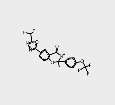 CN1C(=O)c2cc(-c3nnc(C(F)F)o3)ccc2OC1(C)c1ccc(OC(F)(F)F)cc1